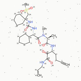 C#CCCC(NC(=O)[C@H](C)N(CCC)C(=O)[C@@H](NC(=O)NC1(CS(=O)(=O)C(C)(C)C)CCCCC1)C1CCCCC1)C(=O)C(=O)NCC=C